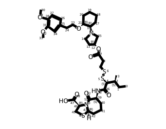 CC[C@H](C)[C@H](SSCCC(=O)O[C@@H]1CCN([C@@H]2CCCC[C@H]2OCCc2ccc(OC)c(OC)c2)C1)C(=O)N[C@H]1CCC[C@H]2SC[C@@H](C(=O)O)N2C1=O